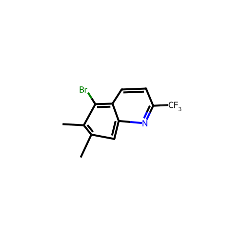 Cc1cc2nc(C(F)(F)F)ccc2c(Br)c1C